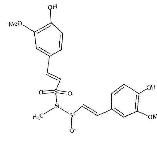 COc1cc(/C=C/[S+]([O-])N(C)S(=O)(=O)/C=C/c2ccc(O)c(OC)c2)ccc1O